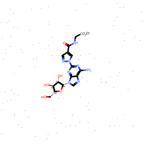 CCOC(=O)CNC(=O)c1cnn(-c2nc(N)c3ncn([C@@H]4O[C@H](CO)[C@@H](O)[C@@H]4O)c3n2)c1